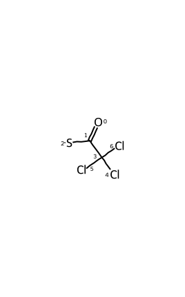 O=C([S])C(Cl)(Cl)Cl